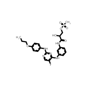 CCCOc1ccc(Nc2ncc(F)c(Nc3cccc(NC(=O)C(O)COS(C)(=O)=O)c3)n2)cc1